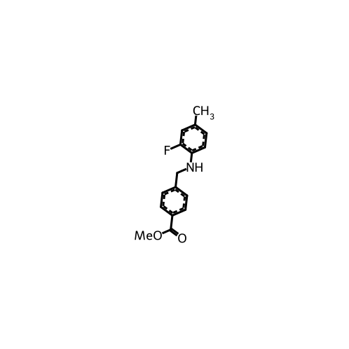 COC(=O)c1ccc(CNc2ccc(C)cc2F)cc1